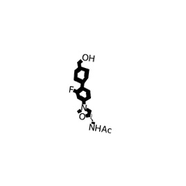 CC(=O)NC[C@H]1CN(c2ccc(-c3ccc(CO)cc3)c(F)c2)CO1